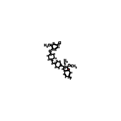 COC(=O)[C@@](C)(Cc1ccc(F)cc1)N1CCC(CN2CCC(Oc3ccc(Cl)cc3C)CC2)CC1